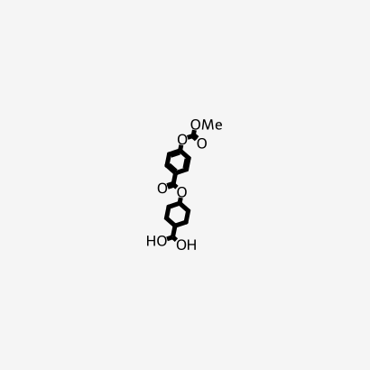 COC(=O)Oc1ccc(C(=O)OC2CCC(C(O)O)CC2)cc1